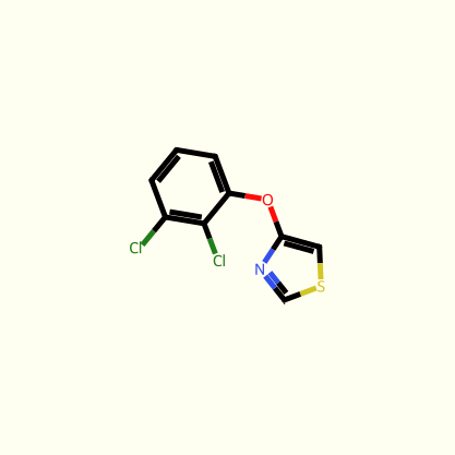 Clc1cccc(Oc2cs[c]n2)c1Cl